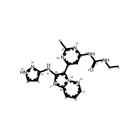 CCNC(=O)Nc1cc(-c2c(Nc3cc[nH]n3)nc3cccnn23)nc(C)n1